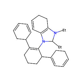 CCC1N(CC)C2=C(C=CCC2)N1C1=C(C2C=CC=CC2)CCCC1C1=CC=CCC1